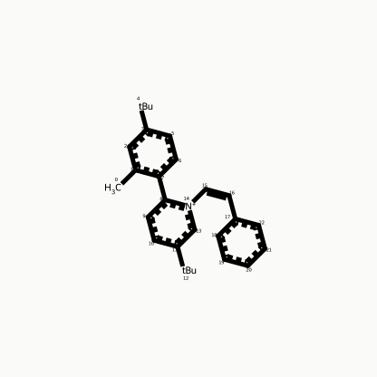 Cc1cc(C(C)(C)C)ccc1-c1ccc(C(C)(C)C)c[n+]1/C=C\c1ccccc1